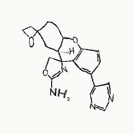 NC1=NC2(CO1)c1cc(-c3cncnc3)ccc1OC1CCC3(CCO3)C[C@@H]12